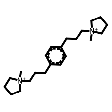 C[N+]1(CCCc2ccc(CCC[N+]3(C)CCCC3)cc2)CCCC1